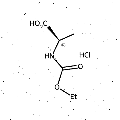 CCOC(=O)N[C@H](C)C(=O)O.Cl